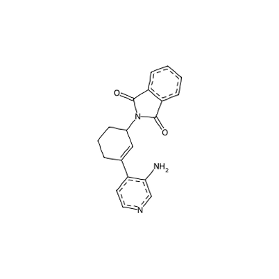 Nc1cnccc1C1=CC(N2C(=O)c3ccccc3C2=O)CCC1